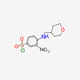 O=[N+]([O-])c1cc(S(=O)(=O)Cl)ccc1NCC1CCOCC1